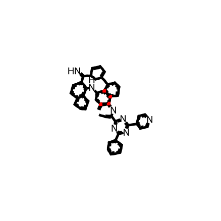 C=C/C(=N\C(=C/C)c1nc(-c2ccccc2)nc(-c2ccncc2)n1)c1cccc(C2=CC=CC(C(=N)c3ccc4ccccc4c3Nc3ccccc3)C2)c1